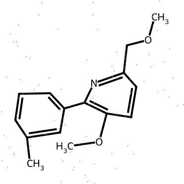 COCc1ccc(OC)c(-c2cccc(C)c2)n1